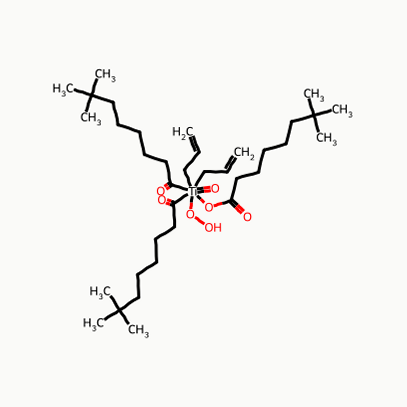 C=C[CH2][Ti](=[O])([CH2]C=C)([O]O)([O]C(=O)CCCCCC(C)(C)C)([C](=O)CCCCCC(C)(C)C)[C](=O)CCCCCC(C)(C)C